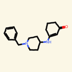 O=C1C=C(NC2CCN(Cc3ccccc3)CC2)CCC1